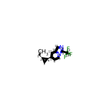 CC[C@H]1C[C@@H]1c1ccn2c(C(F)(F)F)ncc2c1